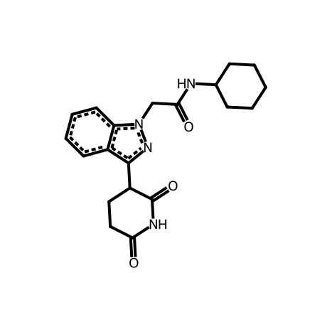 O=C1CCC(c2nn(CC(=O)NC3CCCCC3)c3ccccc23)C(=O)N1